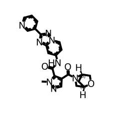 Cn1ncc(C(=O)N2C[C@@H]3C[C@H]2CO3)c1C(=O)Nc1ccn2nc(-c3cccnc3)nc2c1